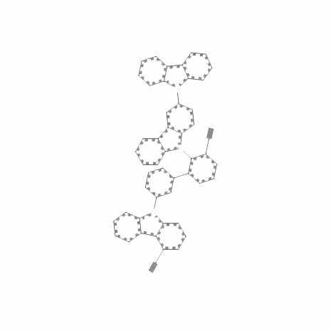 N#Cc1cccc(-c2cccc(-n3c4ccccc4c4c(C#N)cccc43)c2)c1-n1c2ccccc2c2cc(-n3c4ccccc4c4ccccc43)ccc21